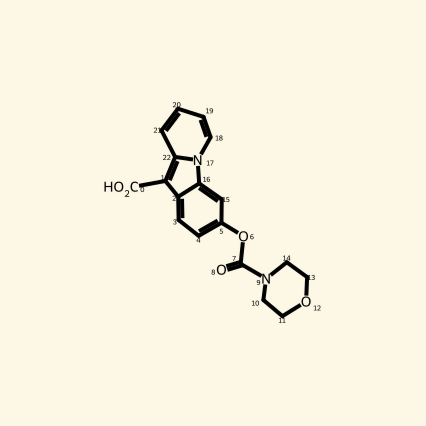 O=C(O)c1c2ccc(OC(=O)N3CCOCC3)cc2n2ccccc12